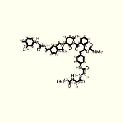 CNC(=O)OC(Cc1ccc(NC(=O)[C@H](C)NC(=O)[C@H](C)NC(=O)OC(C)(C)C)cc1)c1ccccc1C(=O)N1C(=O)CCC(N2Cc3cc(CNC(=O)Nc4ccc(C)c(Cl)c4)ccc3C2=O)C1=O